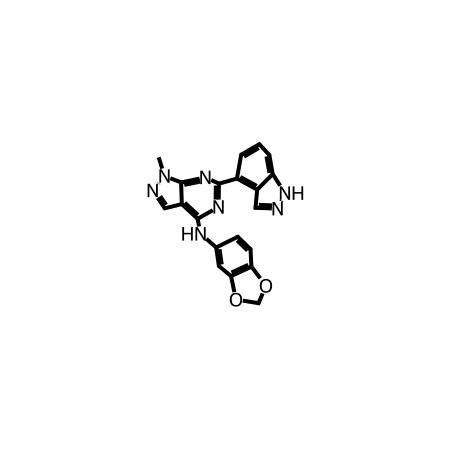 Cn1ncc2c(Nc3ccc4c(c3)OCO4)nc(-c3cccc4[nH]ncc34)nc21